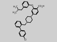 CN(C)Cc1cccc(Oc2cc(N3CCN(Cc4ccccc4-c4ccc(Cl)cc4)CC3)ccc2C(=O)O)c1